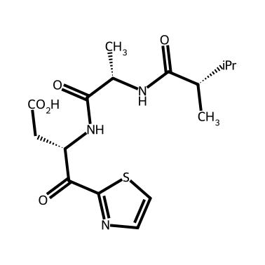 CC(C)[C@H](C)C(=O)N[C@@H](C)C(=O)N[C@@H](CC(=O)O)C(=O)c1nccs1